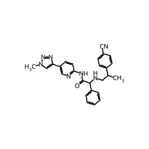 CC(CNC(C(=O)Nc1ccc(-c2cn(C)nn2)cn1)c1ccccc1)c1ccc(C#N)cc1